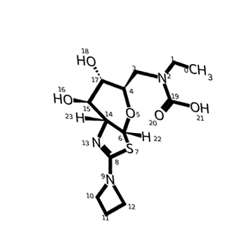 CCN(C[C@H]1O[C@@H]2SC(N3CCC3)=N[C@@H]2[C@@H](O)[C@@H]1O)C(=O)O